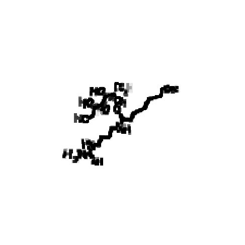 CCCCCCCCCCCCCCCC(=O)NCCCCNC(=N)N.O=C(O)[C@H](O)[C@@H](O)[C@H](O)[C@H](O)CO